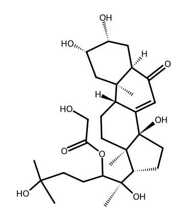 CC(C)(O)CCC(OC(=O)CO)[C@](C)(O)[C@H]1CC[C@@]2(O)C3=CC(=O)[C@@H]4C[C@@H](O)[C@@H](O)C[C@]4(C)[C@H]3CC[C@]12C